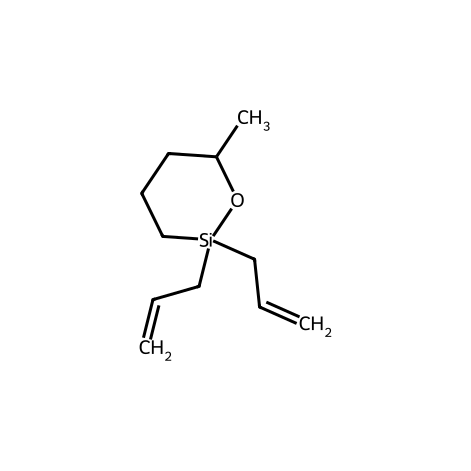 C=CC[Si]1(CC=C)CCCC(C)O1